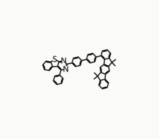 CC1(C)c2ccccc2-c2cc3c(cc21)-c1c(-c2ccc(-c4ccc(-c5nc(-c6ccccc6)c6c(n5)sc5ccccc56)cc4)cc2)cccc1C3(C)C